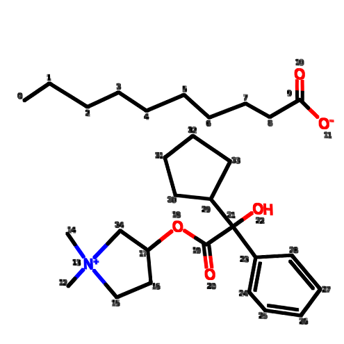 CCCCCCCCCC(=O)[O-].C[N+]1(C)CCC(OC(=O)C(O)(c2ccccc2)C2CCCC2)C1